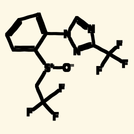 [O-][S+](CC(F)(F)F)c1ccccc1-n1cnc(C(F)(F)F)n1